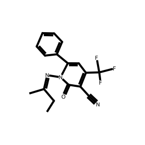 CCC(C)=Nn1c(-c2ccccc2)cc(C(F)(F)F)c(C#N)c1=O